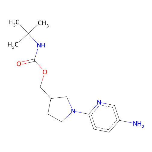 CC(C)(C)NC(=O)OCC1CCN(c2ccc(N)cn2)C1